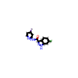 O=C(Nc1cc(I)ccn1)c1n[nH]c2cc(F)ccc12